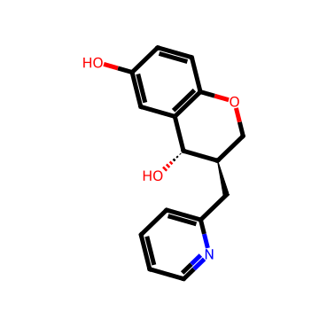 Oc1ccc2c(c1)[C@@H](O)[C@H](Cc1ccccn1)CO2